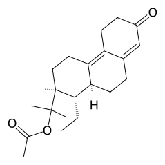 CC[C@H]1[C@@H]2CCC3=CC(=O)CCC3=C2CC[C@]1(C)C(C)(C)OC(C)=O